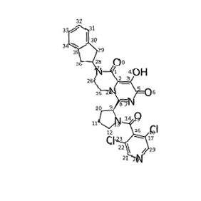 O=C1c2c(O)c(=O)nc([C@@H]3CCCN3C(=O)c3c(Cl)cncc3Cl)n2CCN1C1Cc2ccccc2C1